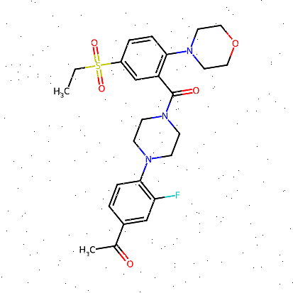 CCS(=O)(=O)c1ccc(N2CCOCC2)c(C(=O)N2CCN(c3ccc(C(C)=O)cc3F)CC2)c1